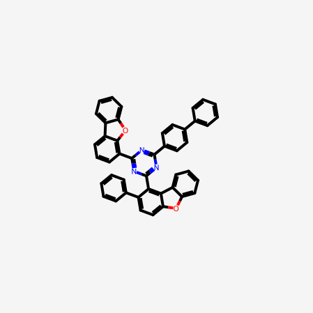 c1ccc(-c2ccc(-c3nc(-c4cccc5c4oc4ccccc45)nc(-c4c(-c5ccccc5)ccc5oc6ccccc6c45)n3)cc2)cc1